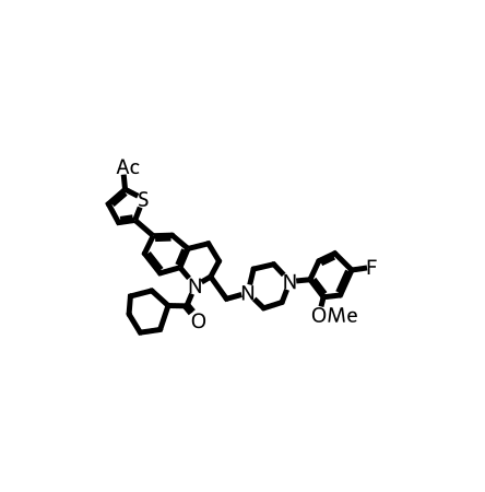 COc1cc(F)ccc1N1CCN(CC2CCc3cc(-c4ccc(C(C)=O)s4)ccc3N2C(=O)C2CCCCC2)CC1